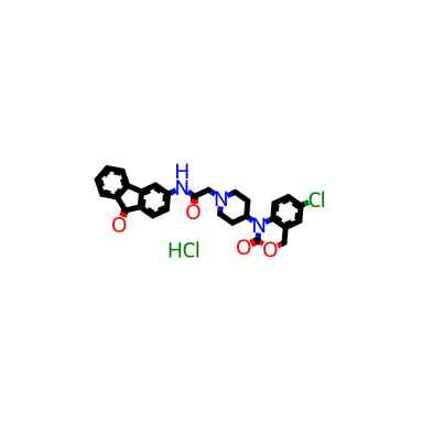 Cl.O=C(CN1CCC(N2C(=O)OCc3cc(Cl)ccc32)CC1)Nc1ccc2c(c1)-c1ccccc1C2=O